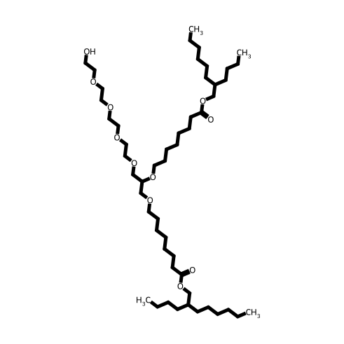 CCCCCCC(CCCC)COC(=O)CCCCCCCOCC(COCCOCCOCCOCCO)OCCCCCCCC(=O)OCC(CCCC)CCCCCC